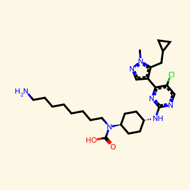 Cn1ncc(-c2nc(N[C@H]3CC[C@H](N(CCCCCCCCN)C(=O)O)CC3)ncc2Cl)c1CC1CC1